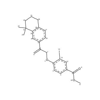 C=C(COc1ccc(C(=O)OC)cc1I)c1ccc2c(c1)C(C)(C)CCC2